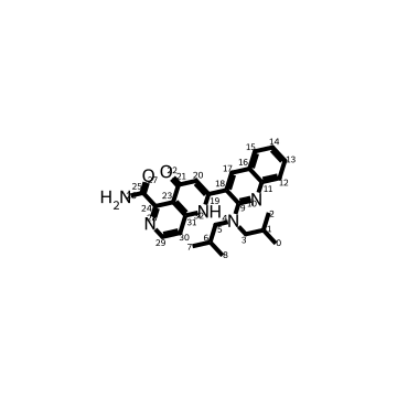 CC(C)CN(CC(C)C)c1nc2ccccc2cc1-c1cc(=O)c2c(C(N)=O)nccc2[nH]1